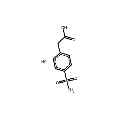 CS(=O)(=O)c1ccc(CC(=O)O)cc1.Cl